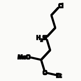 CCOC(C[SiH2]CCCl)OC